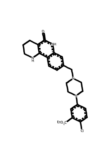 CCOC(=O)c1cc(N2CCN(Cc3ccc4c5c(c(=O)[nH]c4c3)CCCN5)CC2)ccc1Cl